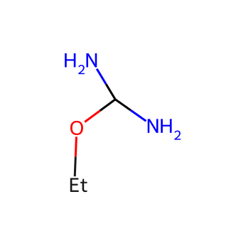 CCOC(N)N